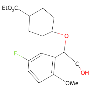 CCOC(=O)C1CCC(OC(CO)c2cc(F)ccc2OC)CC1